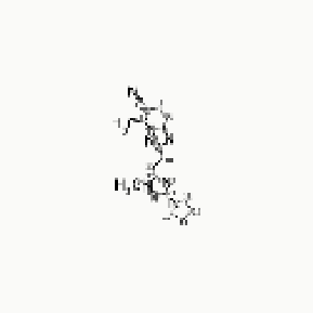 Cc1c(C#N)ccc2nc(CCc3nc(N4CCCC4)nn3C)nn12